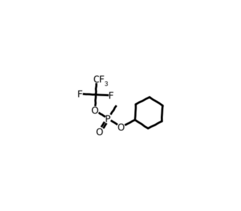 CP(=O)(OC1CCCCC1)OC(F)(F)C(F)(F)F